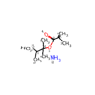 C=C(C)C(=O)OC(C)(C)C(C)S(=O)(=O)O.N